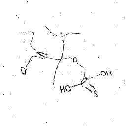 CC[S+]([O-])C(C)(OP(O)(O)=S)C(C)C